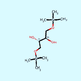 C[Si](C)(C)OC[C@@H](O)[C@@H](O)CO[Si](C)(C)C